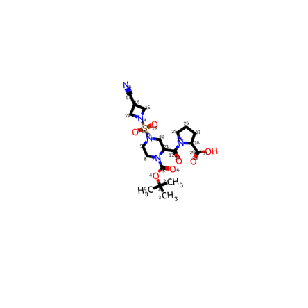 CC(C)(C)OC(=O)N1CCN(S(=O)(=O)N2CC(C#N)C2)CC1C(=O)N1CCCC1C(=O)O